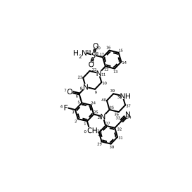 Cc1cc(F)c(C(=O)N2CCN(c3ccccc3S(N)(=O)=O)CC2)cc1N(c1ccccc1C#N)C1CCNCC1